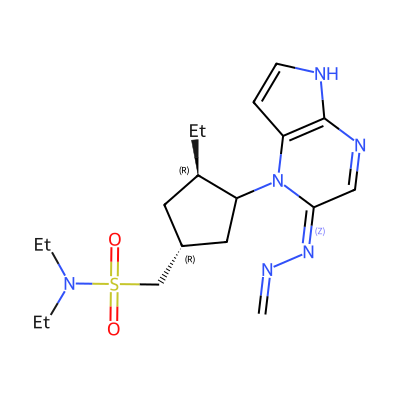 C=N/N=c1/cnc2[nH]ccc2n1C1C[C@H](CS(=O)(=O)N(CC)CC)C[C@H]1CC